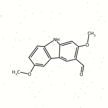 COc1ccc2[nH]c3cc(OC)c(C=O)cc3c2c1